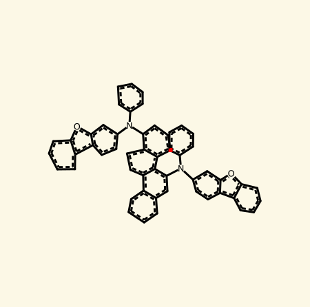 c1ccc(N(c2ccc3c(c2)oc2ccccc23)c2cccc3c2ccc2c4ccccc4cc(N(c4ccccc4)c4ccc5c(c4)oc4ccccc45)c32)cc1